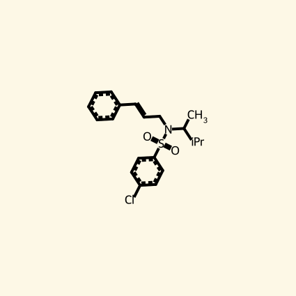 CC(C)C(C)N(CC=Cc1ccccc1)S(=O)(=O)c1ccc(Cl)cc1